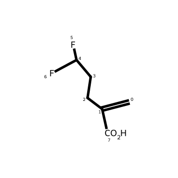 C=C(CCC(F)F)C(=O)O